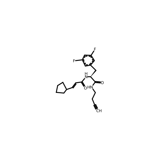 C#CCCNC(=O)[C@H](Cc1cc(F)cc(F)c1)NC(=O)/C=C/C1CCCC1